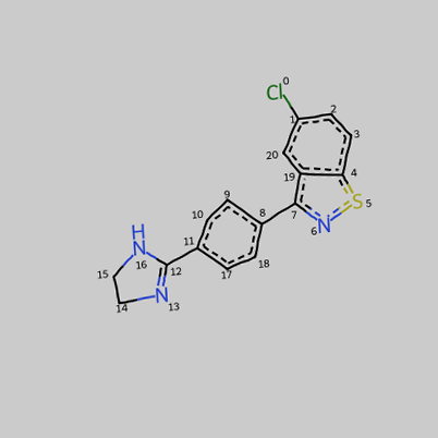 Clc1ccc2snc(-c3ccc(C4=NCCN4)cc3)c2c1